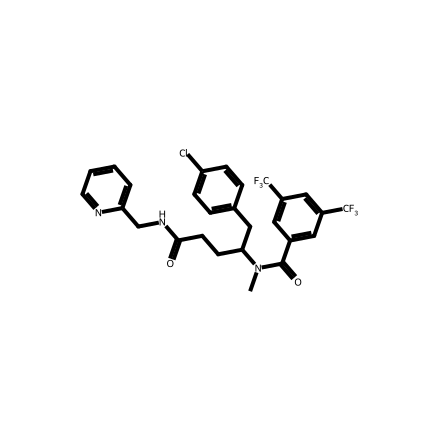 CN(C(=O)c1cc(C(F)(F)F)cc(C(F)(F)F)c1)C(CCC(=O)NCc1ccccn1)Cc1ccc(Cl)cc1